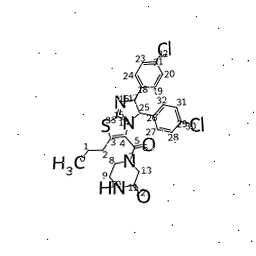 CCCC1=C(C(=O)N2CCNC(=O)C2)N2C(=NC(c3ccc(Cl)cc3)C2c2ccc(Cl)cc2)S1